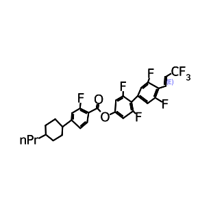 CCCC1CCC(c2ccc(C(=O)Oc3cc(F)c(-c4cc(F)c(/C=C/C(F)(F)F)c(F)c4)c(F)c3)c(F)c2)CC1